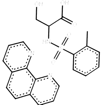 Cc1ccccc1S(=O)(=O)NC(CO)C(=O)O.c1cnc2c(c1)ccc1cccnc12